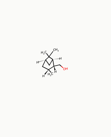 C[C@@H]1C[C@@H]2C[C@H]([C@@H]1CO)C2(C)C